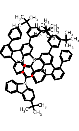 CC(C)(C)c1cc(-c2cc3c(c(-c4c(-c5ccccc5)cccc4-c4ccccc4)c2)Nc2cc(-n4c5ccccc5c5cc(C(C)(C)C)ccc54)cc4c2B3c2cc(-c3cc(C(C)(C)C)cc(C(C)(C)C)c3)cc(-c3c(-c5ccccc5)cccc3-c3ccccc3)c2N4)cc(C(C)(C)C)c1